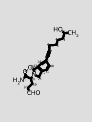 CC(O)CCCCC#Cc1ccc2c(c1)C(=O)N(C(CCC=O)C(N)=O)C2